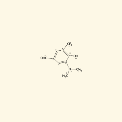 CN(C)c1cc(C=O)cc(C(F)(F)F)c1O